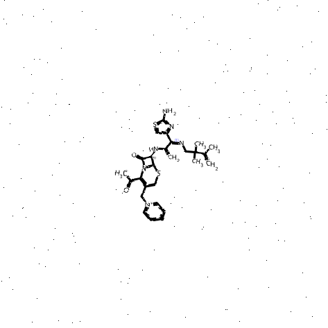 C=C(N[C@@H]1C(=O)N2C(C(C)=O)=C(C[n+]3ccccc3)CSC12)/C(=N\CC(C)(C)C(=C)C)c1csc(N)n1